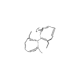 [CH2-][n+]1cccc(C)c1-c1c(C)cccc1C